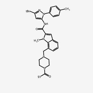 CCC(=O)N1CCN(Cc2cccc3cc(C(=O)Nc4cc(C(C)(C)C)nn4-c4ccc(C)cc4)n(C)c23)CC1